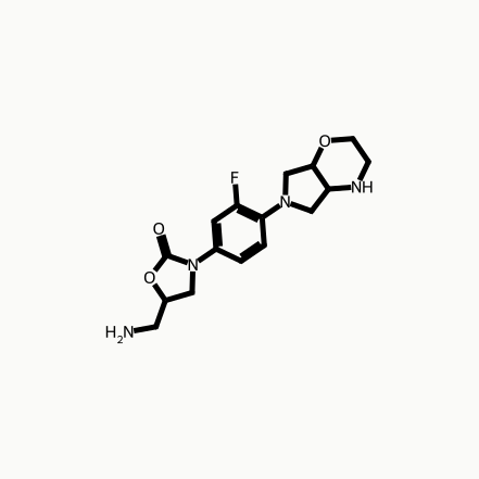 NCC1CN(c2ccc(N3CC4NCCOC4C3)c(F)c2)C(=O)O1